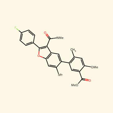 CCCc1cc2oc(-c3ccc(F)cc3)c(C(=O)NC)c2cc1-c1cc(C(=O)OC)c(OC)cc1C